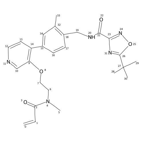 C=CC(=O)N(C)CCOc1cnccc1-c1ccc(CNC(=O)c2noc(C(C)(C)C)n2)c(C)c1